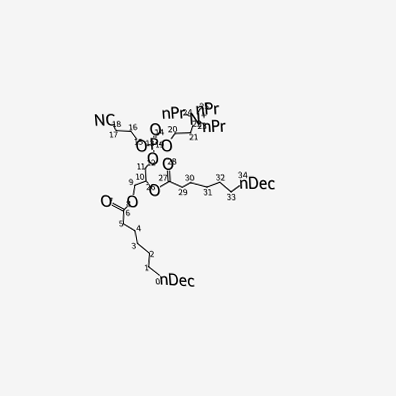 CCCCCCCCCCCCCCCC(=O)OCC(COP(=O)(OCCC#N)OCC[N+](CCC)(CCC)CCC)OC(=O)CCCCCCCCCCCCCCC